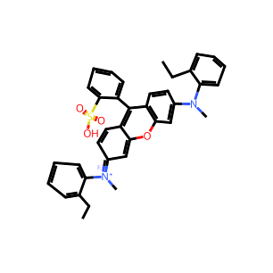 CCc1ccccc1N(C)c1ccc2c(-c3ccccc3S(=O)(=O)O)c3cc/c(=[N+](/C)c4ccccc4CC)cc-3oc2c1